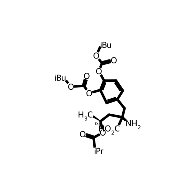 CCC(C)OC(=O)Oc1ccc(CC(N)(C[C@H](C)OC(=O)C(C)C)C(=O)O)cc1OC(=O)OC(C)CC